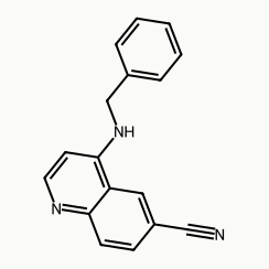 N#Cc1ccc2nccc(NCc3ccccc3)c2c1